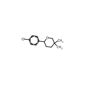 CC1(C)CCC(c2ccc(Cl)cc2)OC1